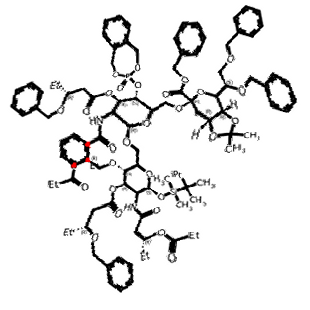 CCC(=O)O[C@H](CC)CC(=O)NC1[C@H](O[Si](C)(C)C(C)(C)C(C)C)OC(CO[C@@H]2OC(CO[C@]3(C(=O)OCc4ccccc4)C[C@H]4OC(C)(C)O[C@H]4C([C@@H](COCc4ccccc4)OCc4ccccc4)O3)[C@@H](OP3(=O)OCc4ccccc4CO3)[C@H](OC(=O)C[C@@H](CC)OCc3ccccc3)C2NC(=O)C[C@@H](CC)OC(=O)CC)[C@@H](OCc2ccccc2)[C@@H]1OC(=O)C[C@@H](CC)OCc1ccccc1